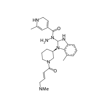 CNC/C=C/C(=O)N1CCC[C@@H](N2c3c(C)cccc3NC2N(N)C(=O)C2=CCNC(C)=C2)C1